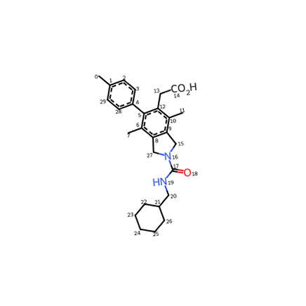 Cc1ccc(-c2c(C)c3c(c(C)c2CC(=O)O)CN(C(=O)NCC2CCCCC2)C3)cc1